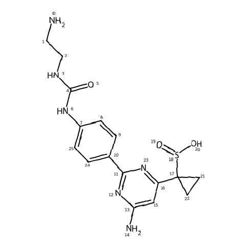 NCCNC(=O)Nc1ccc(-c2nc(N)cc(C3(S(=O)O)CC3)n2)cc1